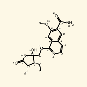 CC[C@@H]1[C@H](F)C(=O)N[C@]1(O)COc1nccc2cc(C(N)=O)c(OC)cc12